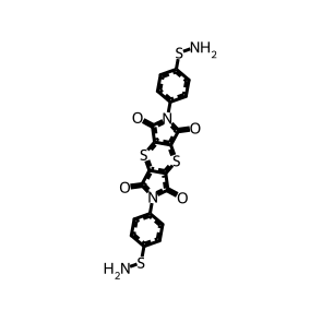 NSc1ccc(-n2c(=O)c3sc4c(=O)n(-c5ccc(SN)cc5)c(=O)c4sc3c2=O)cc1